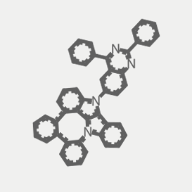 c1ccc(-c2nc(-c3ccccc3)c3cc(-n4c5cccc6c7ccccc7c7ccccc7n7c8ccccc8c4c7c65)ccc3n2)cc1